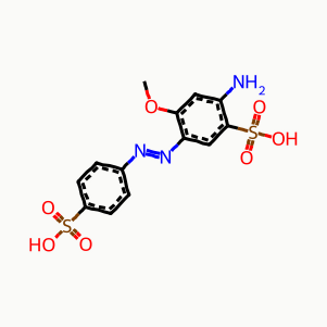 COc1cc(N)c(S(=O)(=O)O)cc1N=Nc1ccc(S(=O)(=O)O)cc1